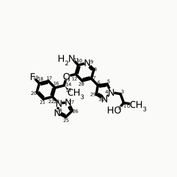 CC(O)Cn1cc(-c2cnc(N)c(O[C@H](C)c3cc(F)ccc3-n3nccn3)c2)cn1